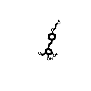 COCCOc1ccc(C=Cc2cc(C=O)c(O)c(OC)c2)cc1